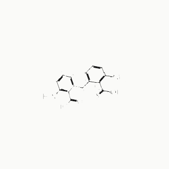 Nc1cccc(Cc2cccc(N)c2C(=O)O)c1C(=O)O